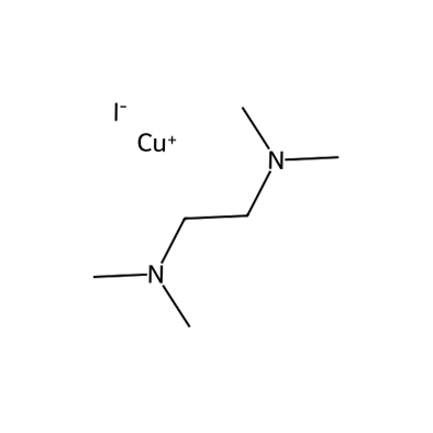 CN(C)CCN(C)C.[Cu+].[I-]